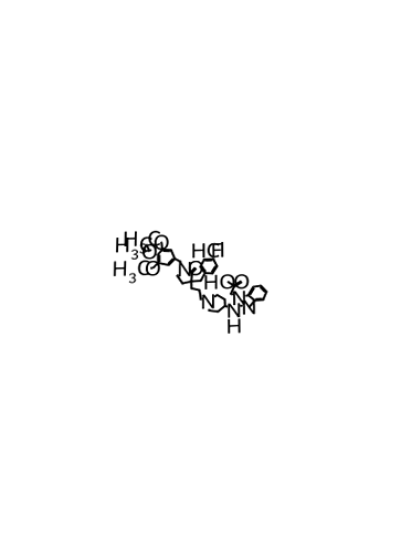 COc1cc(CN2CCC(CCCN3CCC(Nc4nc5ccccc5n4CC(=O)O)CC3)(Cc3ccc(F)cc3)C2=O)cc(OC)c1OC.Cl